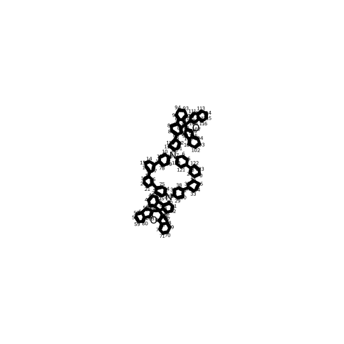 c1ccc(-c2ccc(N(c3ccc(-c4cccc(-c5cccc(-c6ccc(N(c7ccc(-c8ccccc8)cc7)c7cccc8c7-c7ccccc7C87c8ccc9ccccc9c8Oc8c7ccc7ccccc87)cc6)c5)c4)cc3)c3ccc(-c4ccc5c(c4)C4(c6ccccc6-5)c5ccc6ccccc6c5Oc5c4ccc4ccccc54)cc3)cc2)cc1